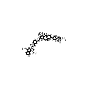 CNS(=O)(=O)c1ccc(C2=CCN3C(=O)c4cc(OC)c(OCc5cccc(CC(=O)N6C[C@@H](CCl)c7c6cc(O)c6ccccc76)c5)cc4N=C[C@@H]3C2)cc1